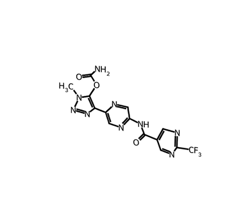 Cn1nnc(-c2cnc(NC(=O)c3cnc(C(F)(F)F)nc3)cn2)c1OC(N)=O